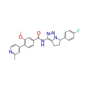 COc1cc(C(=O)Nc2nnn3c2CCC3c2ccc(F)cc2)ccc1-c1ccnc(C)c1